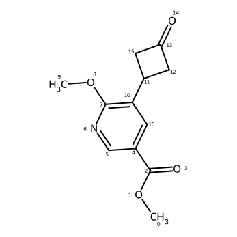 COC(=O)c1cnc(OC)c(C2CC(=O)C2)c1